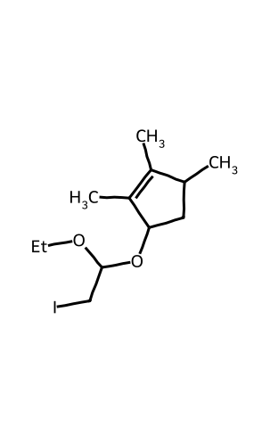 CCOC(CI)OC1CC(C)C(C)=C1C